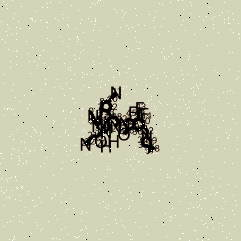 Cn1cnnc1-c1ccc(C#N)cc1-c1cc(NC[C@H](O)CC#N)nc(N2Cc3c(cc(CN4CCC5(CC5)C4)cc3C(F)(F)F)C2=O)c1